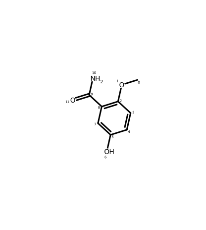 COc1ccc(O)cc1C(N)=O